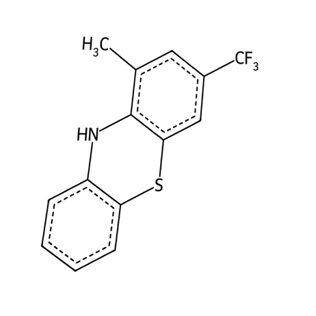 Cc1cc(C(F)(F)F)cc2c1Nc1ccccc1S2